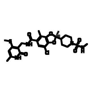 CNS(=O)(=O)N1CCC([C@@]2(C)Oc3c(Cl)cc(C(=O)NCc4c(SC)cc(C)[nH]c4=O)c(C)c3O2)CC1